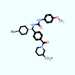 CC(C)(C)[C@H]1CC[C@H](C(NC(=O)Nc2ccc(OC(F)(F)F)cc2)c2ccc(C(=O)N3CCCC(C(=O)O)C3)cc2)CC1